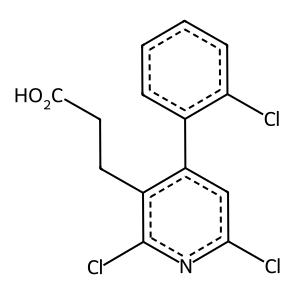 O=C(O)CCc1c(-c2ccccc2Cl)cc(Cl)nc1Cl